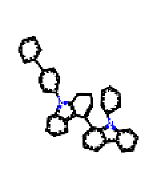 C1=C(c2cccc3c4ccccc4n(-c4ccccc4)c23)c2c(n(-c3ccc(-c4ccccc4)cc3)c3ccccc23)CC1